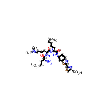 CC(=O)NCCCC[C@H](NC(=O)[C@H](CCCCN(C)C)NC(=O)[C@@H](N)CCC(=O)O)C(=O)Nc1ccc2nc(C3=N[C@@H](C(=O)O)CS3)sc2c1